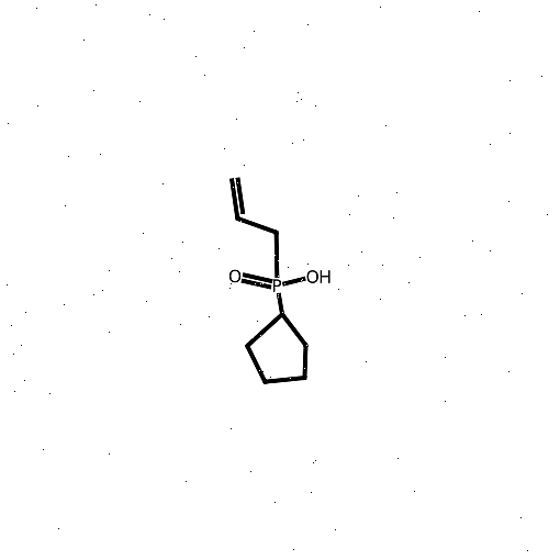 C=CCP(=O)(O)C1CCCC1